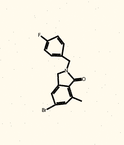 Cc1cc(Br)cc2c1C(=O)N(Cc1ccc(F)cc1)C2